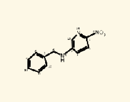 O=[N+]([O-])c1ccc(NCc2ccccc2)cn1